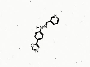 C(=NNc1ccc(-c2cnco2)cc1)c1cccnc1